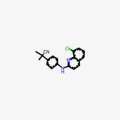 CC(C)(C#N)c1ccc(Nc2ccc3cccc(Cl)c3n2)cc1